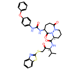 CC(C)[C@H](NC(=O)[C@@H]1CCCN2C(=O)CCC(NC(=O)Nc3ccc(Oc4ccccc4)cc3)C(=O)N12)C(=O)CSc1nc2ccccc2s1